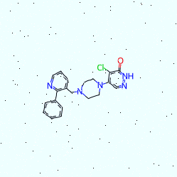 O=c1[nH]ncc(N2CCN(Cc3cccnc3-c3ccccc3)CC2)c1Cl